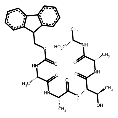 C[C@H](NC(=O)[C@H](C)NC(=O)[C@@H](NC(=O)[C@H](C)NC(=O)[C@H](C)NC(=O)OCC1c2ccccc2-c2ccccc21)[C@@H](C)O)C(=O)O